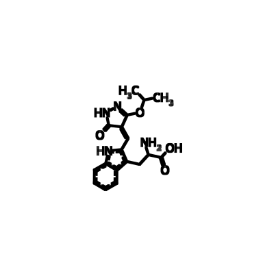 CC(C)OC1=NNC(=O)C1=Cc1[nH]c2ccccc2c1CC(N)C(=O)O